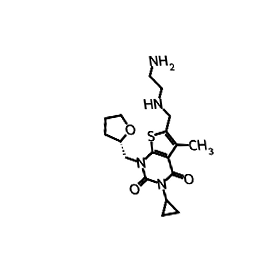 Cc1c(CNCCN)sc2c1c(=O)n(C1CC1)c(=O)n2C[C@@H]1CCCO1